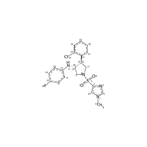 Cn1cnc(S(=O)(=O)N2C[C@H](Nc3ccc(F)cc3)[C@@H](c3ccccc3Cl)C2)c1